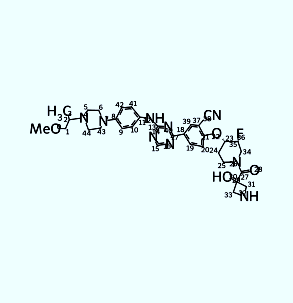 COCC(C)N1CCN(c2ccc(Nc3ncnc(-c4ccc(O[C@H]5CCN(C(=O)C6(O)CNC6)C[C@H]5F)c(C#N)c4)n3)cc2)CC1